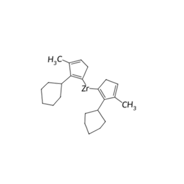 CC1=CC[C]([Zr][C]2=C(C3CCCCC3)C(C)=CC2)=C1C1CCCCC1